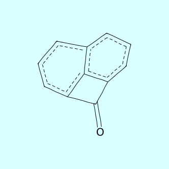 O=C1c2cccc3cccc1c23